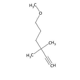 C#CC(C)(C)CCCOC